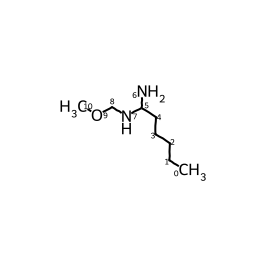 CCCCCC(N)NCOC